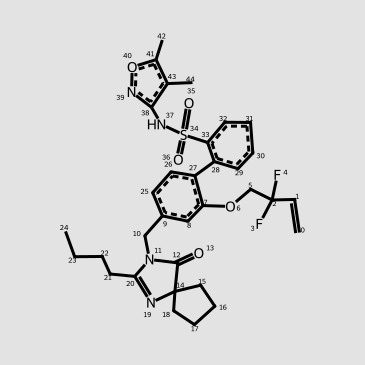 C=CC(F)(F)COc1cc(CN2C(=O)C3(CCCC3)N=C2CCCC)ccc1-c1ccccc1S(=O)(=O)Nc1noc(C)c1C